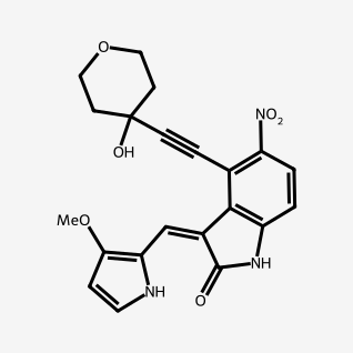 COc1cc[nH]c1C=C1C(=O)Nc2ccc([N+](=O)[O-])c(C#CC3(O)CCOCC3)c21